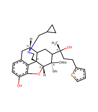 CCC[C@@]1(OC)C([C@](C)(O)CCc2cccs2)CC2[C@H]3Cc4ccc(O)c5c4[C@@]2(CCN3CC2CC2)[C@H]1O5